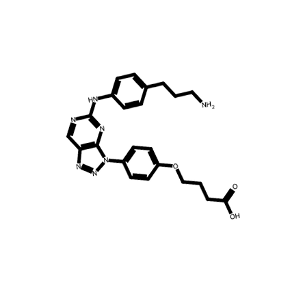 NCCCc1ccc(Nc2ncc3nnn(-c4ccc(OCCCC(=O)O)cc4)c3n2)cc1